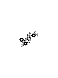 CN(C)c1ccc(NC(=S)NC2N=C(c3ccccc3Cl)c3cc(Cl)ccc3N(C)C2=O)cc1Cl